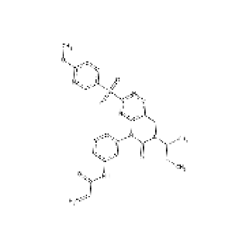 C=CC(=O)Nc1cccc(N2C(=O)N(C(C)CC)Cc3cnc(S(=O)(=O)c4ccc(OC)nc4)nc32)c1